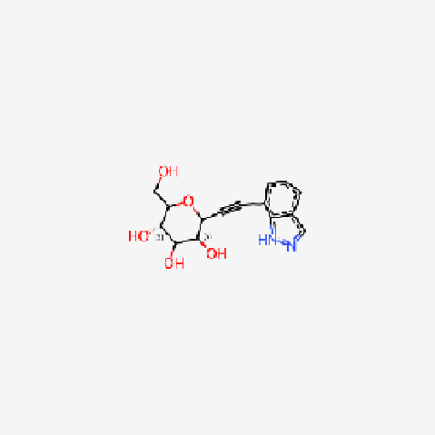 OCC1OC(C#Cc2cccc3cn[nH]c23)[C@@H](O)C(O)[C@@H]1O